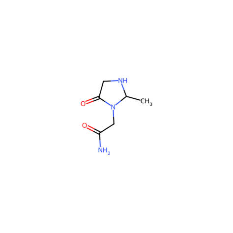 CC1NCC(=O)N1CC(N)=O